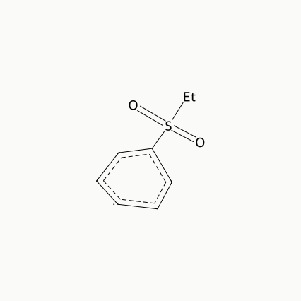 CCS(=O)(=O)c1cc[c]cc1